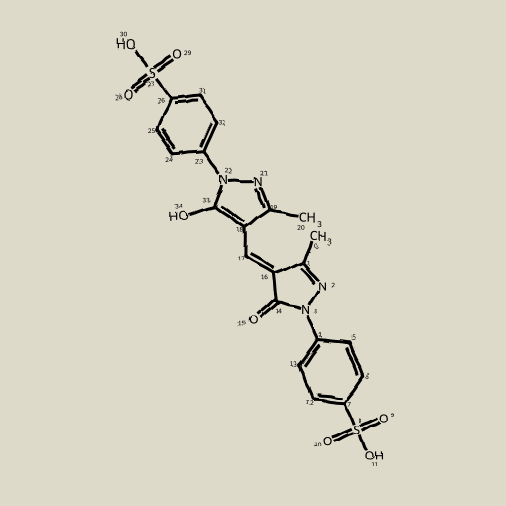 CC1=NN(c2ccc(S(=O)(=O)O)cc2)C(=O)C1=Cc1c(C)nn(-c2ccc(S(=O)(=O)O)cc2)c1O